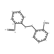 COc1ccccc1CCc1ccccc1P=S